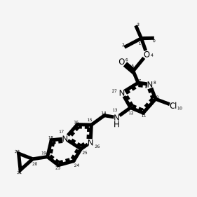 CC(C)(C)OC(=O)c1nc(Cl)cc(NCc2cn3cc(C4CC4)ccc3n2)n1